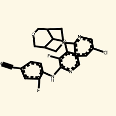 N#Cc1ccc(Nc2ncnc(OC3C4COCC3CN(c3ccc(Cl)cn3)C4)c2F)c(F)c1